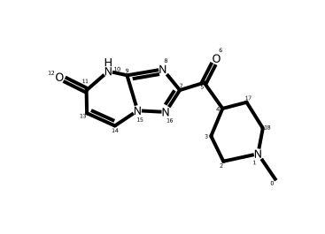 CN1CCC(C(=O)c2nc3[nH]c(=O)ccn3n2)CC1